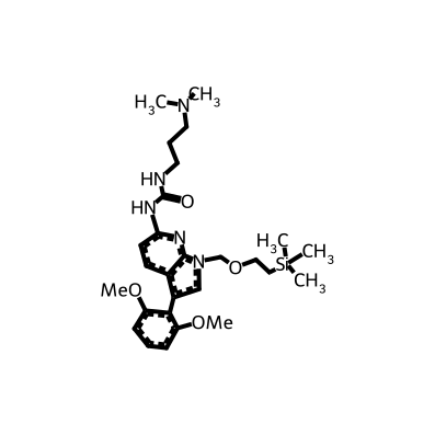 COc1cccc(OC)c1-c1cn(COCC[Si](C)(C)C)c2nc(NC(=O)NCCCN(C)C)ccc12